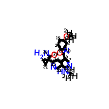 [2H]C([2H])([2H])Nc1ncc(-c2nc3cc(OC([2H])([2H])[2H])ccc3o2)c2cc(C3(C(N)=O)CC3)ncc12